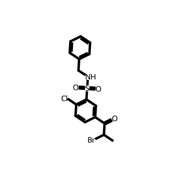 CC(Br)C(=O)c1ccc(Cl)c(S(=O)(=O)NCc2ccccc2)c1